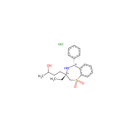 CC[C@]1(CCC(C)O)CS(=O)(=O)c2ccccc2[C@@H](c2ccccc2)N1.Cl